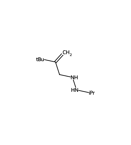 C=C(CNNC(C)C)C(C)(C)C